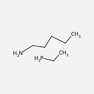 CCCCCN.CCP